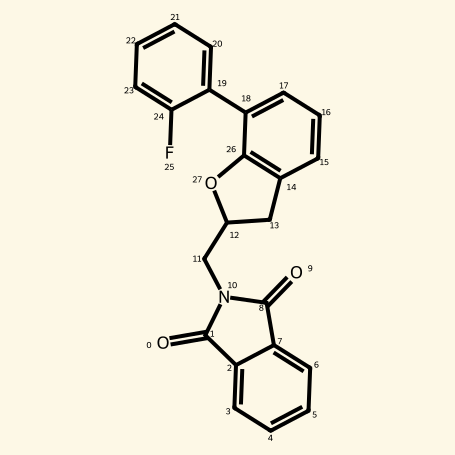 O=C1c2ccccc2C(=O)N1CC1Cc2cccc(-c3ccccc3F)c2O1